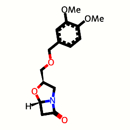 COc1ccc(COC[C@H]2CN3C(=O)C[C@@H]3O2)cc1OC